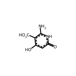 Nc1[nH]c(=O)cc(O)c1C(=O)O